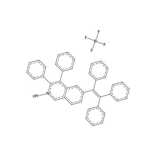 CCC[n+]1cc2ccc(C(=C(c3ccccc3)c3ccccc3)c3ccccc3)cc2c(-c2ccccc2)c1-c1ccccc1.F[B-](F)(F)F